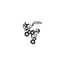 COCCOCN(c1onc(C)c1C)S(=O)(=O)c1ccccc1-c1ccc(-c2ncco2)cc1CN1C(=O)Cc2ccccc21